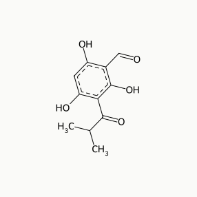 CC(C)C(=O)c1c(O)cc(O)c(C=O)c1O